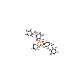 O=P(Oc1ccccc1)(Oc1ccc(Cc2ccccc2)cc1)c1ccc(Cc2ccccc2)cc1